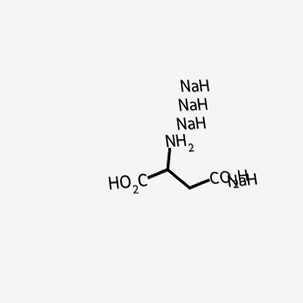 NC(CC(=O)O)C(=O)O.[NaH].[NaH].[NaH].[NaH]